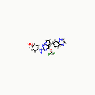 C[C@]1(O)CC[C@H](Nc2nc(OC(F)F)c3c(-c4ccc5nccnc5c4)ccn3n2)CC1